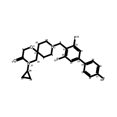 O=C1COC2(CCN(Cc3c(F)cc(-c4ccc(F)cc4)cc3F)CC2)CN1C1CC1